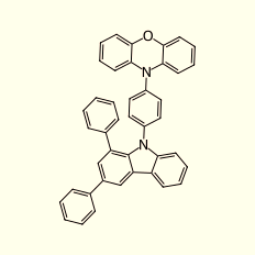 c1ccc(-c2cc(-c3ccccc3)c3c(c2)c2ccccc2n3-c2ccc(N3c4ccccc4Oc4ccccc43)cc2)cc1